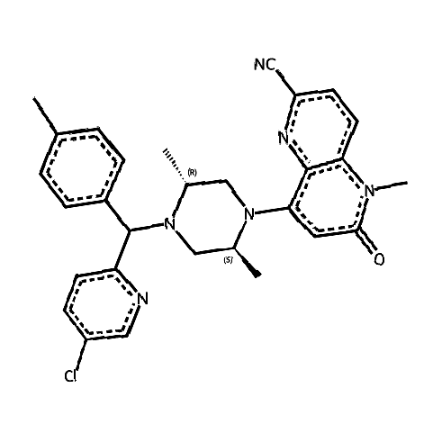 Cc1ccc(C(c2ccc(Cl)cn2)N2C[C@H](C)N(c3cc(=O)n(C)c4ccc(C#N)nc34)C[C@H]2C)cc1